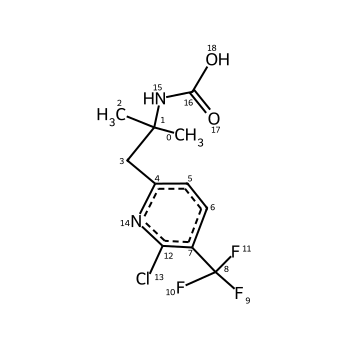 CC(C)(Cc1ccc(C(F)(F)F)c(Cl)n1)NC(=O)O